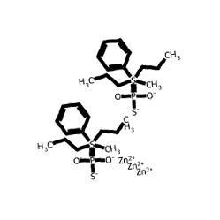 CCCS(C)(CCC)(c1ccccc1)=P([O-])([O-])[S-].CCCS(C)(CCC)(c1ccccc1)=P([O-])([O-])[S-].[Zn+2].[Zn+2].[Zn+2]